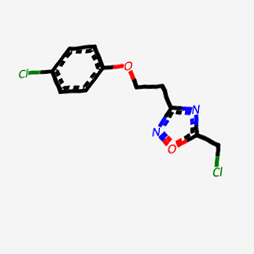 ClCc1nc(CCOc2ccc(Cl)cc2)no1